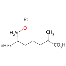 C=C(CCCC(CCCCCC)[SiH2]OCC)C(=O)O